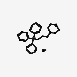 [Br-].c1ccc([P+](CCCN2CCSCC2)(c2ccccc2)c2ccccc2)cc1